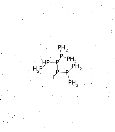 PPP(P(P)P)P(I)P(P)P